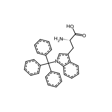 N[C@@H](Cc1cn(C(c2ccccc2)(c2ccccc2)c2ccccc2)c2ccccc12)C(=O)O